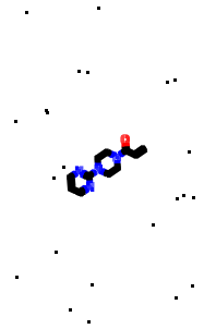 C=CC(=O)N1CCN(c2ncccn2)CC1